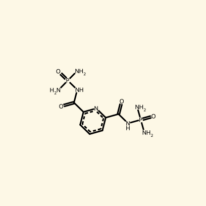 NP(N)(=O)NC(=O)c1cccc(C(=O)NP(N)(N)=O)n1